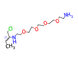 C/C=C(/CCl)NCCOCCOCCOCCOCCN